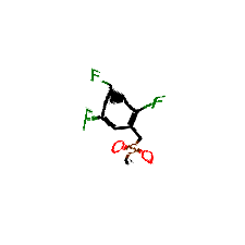 [CH2]S(=O)(=O)Cc1cc(F)c(F)cc1F